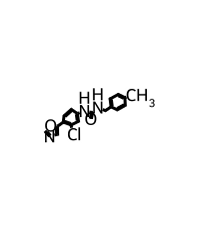 Cc1ccc(CNC(=O)Nc2ccc(-c3cnco3)c(Cl)c2)cc1